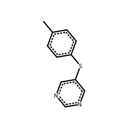 Cc1ccc(Sc2cncnc2)cc1